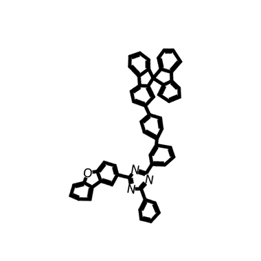 c1ccc(-c2nc(-c3cccc(-c4ccc(-c5ccc6c(c5)C5(c7ccccc7-c7ccccc75)c5ccccc5-6)cc4)c3)nc(-c3ccc4oc5ccccc5c4c3)n2)cc1